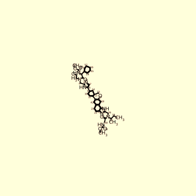 CCCN(Cc1ncc(-c2ccc3c(c2)COc2cc4c(ccc5nc(CN(C(=O)CNC(=O)OC)[C@@H](C)CC)[nH]c54)cc2-3)[nH]1)C(=O)C(NC(=O)OC)c1ccccc1